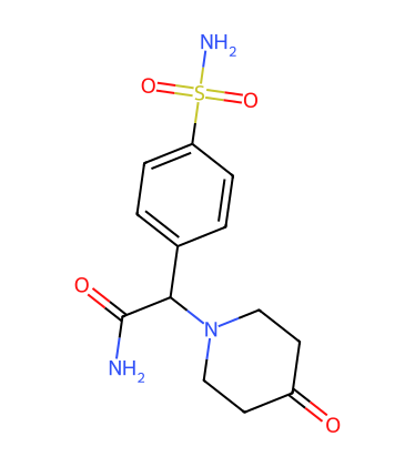 NC(=O)C(c1ccc(S(N)(=O)=O)cc1)N1CCC(=O)CC1